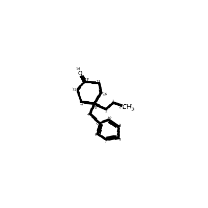 CC[CH]C1(Cc2ccccc2)CCC(=O)CC1